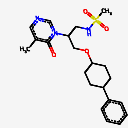 Cc1cncn(C(CNS(C)(=O)=O)COC2CCC(c3ccccc3)CC2)c1=O